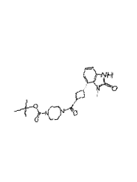 Cn1c(=O)[nH]c2cccc([C@H]3C[C@H](C(=O)N4CCN(C(=O)OC(C)(C)C)CC4)C3)c21